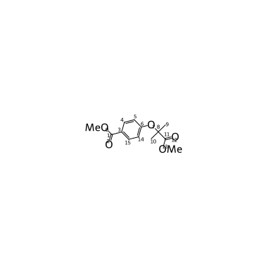 COC(=O)c1ccc(OC(C)(C)C(=O)OC)cc1